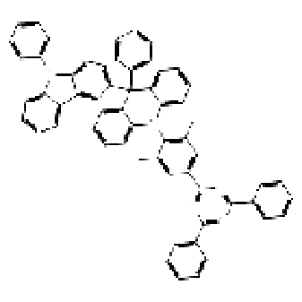 Cc1cc(-c2nc(-c3ccccc3)nc(-c3ccccc3)n2)cc(C)c1N1c2ccccc2C(c2ccccc2)(c2ccc3c(c2)c2ccccc2n3-c2ccccc2)c2ccccc21